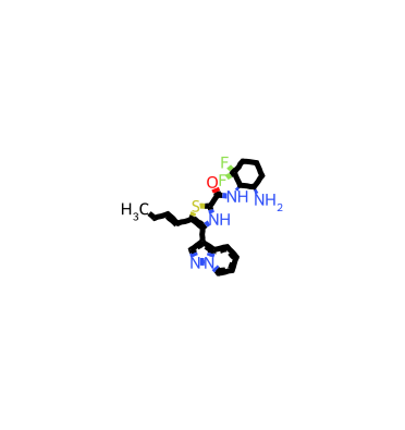 CC/C=C/C1=C(c2cnn3ccccc23)NC(C(=O)N[C@@H]2[C@H](N)CCCC2(F)F)S1